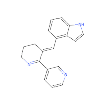 C(=C1/CCCN=C1c1cccnc1)/c1cccc2[nH]ccc12